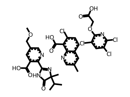 COCc1cnc(C2=NC(C)(C(C)C)C(=O)N2)c(C(=O)O)c1.Cc1cnc2c(C(=O)O)c(Cl)ccc2c1.O=C(O)COc1nc(Cl)c(Cl)cc1Cl